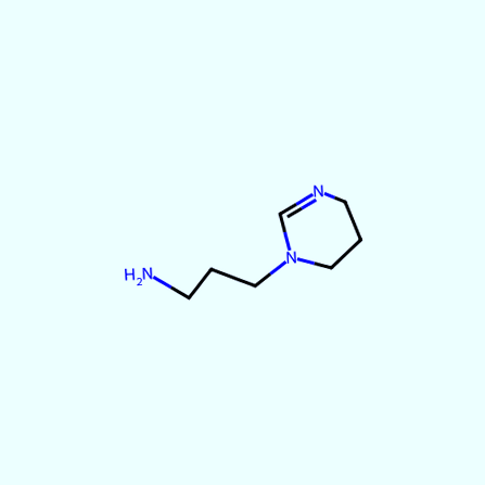 NCCCN1C=NCCC1